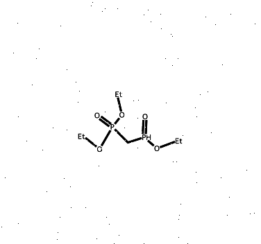 CCO[PH](=O)CP(=O)(OCC)OCC